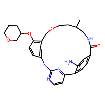 CC1CCOCc2cc(ccc2OC2CCCOC2)Nc2nccc(n2)-c2ccc(cc2N)C(=O)NC1